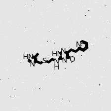 Cc1[nH]cnc1CSCCNc1nc(=O)c(CCc2ccccn2)n[nH]1